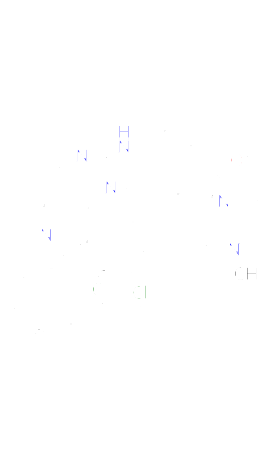 CN1CCN(C(=O)c2ccc(Nc3ncc4c(n3)-c3ccc(Cl)cc3C(c3ccccc3Cl)=NC4)cc2)CC1